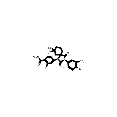 C=C1N(c2ccc(C#N)c(C(F)(F)F)c2)C(=O)C2(CCCC(C)(C)C2)N1c1ccc(C(=O)NC)c(F)c1